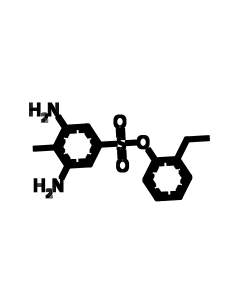 CCc1ccccc1OS(=O)(=O)c1cc(N)c(C)c(N)c1